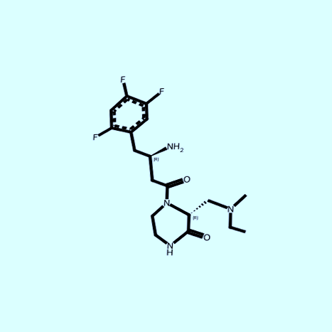 CCN(C)C[C@@H]1C(=O)NCCN1C(=O)C[C@H](N)Cc1cc(F)c(F)cc1F